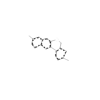 Cc1ccc2c(c1)COc1cc3cc(C)ccc3cc1-2